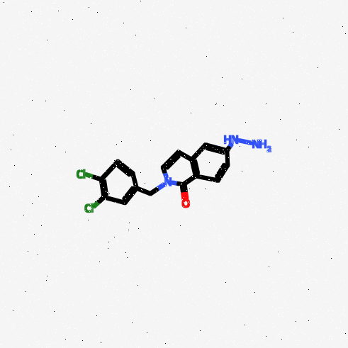 NNc1ccc2c(=O)n(Cc3ccc(Cl)c(Cl)c3)ccc2c1